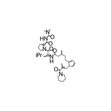 C=C(CCC1=CC=CC1C[C@H](C)C(=O)N1CCCCC1)CC(=O)N[C@@H](CC(C)C)C(=O)N1CCC[C@H]1C(=O)NC(=O)N(C)C